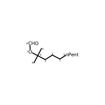 CCCCCCCCC(C)(C)OC=O